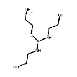 NCCOB(NCCO)NCCO